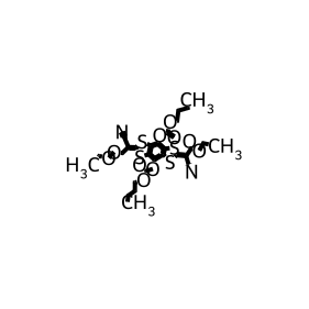 CCCCOC(=O)Oc1c2c(c(OC(=O)OCCCC)c3c1SC(=C(C#N)C(=O)OCC)S3)SC(=C(C#N)COOCC)S2